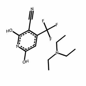 CCN(CC)CC.N#Cc1c(C(F)(F)F)cc(O)nc1O